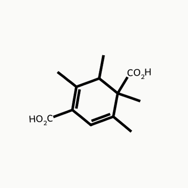 CC1=CC(C(=O)O)=C(C)C(C)C1(C)C(=O)O